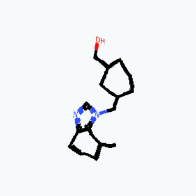 CC1CC=Cc2ncn(CC3CCCC(CO)C3)c21